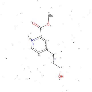 CC(C)(C)OC(=O)c1cc(/C=C/CO)ccn1